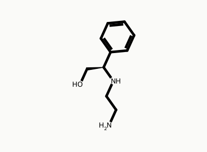 NCCN[C@@H](CO)c1ccccc1